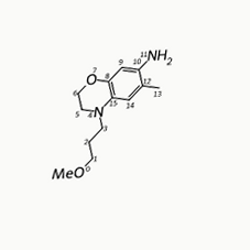 COCCCN1CCOc2cc(N)c(C)cc21